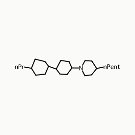 CCCCCC1CCN(C2CCC(C3CCC(CCC)CC3)CC2)CC1